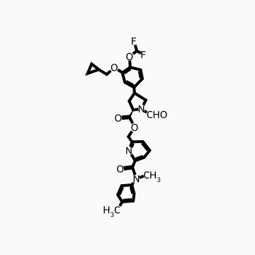 Cc1ccc(N(C)C(=O)c2cccc(COC(=O)[C@H]3CC(c4ccc(OC(F)F)c(OCC5CC5)c4)CN3C=O)n2)cc1